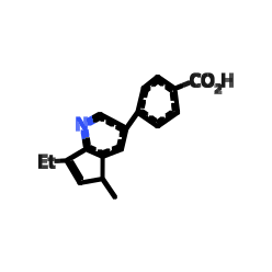 CCC1=CC(C)c2cc(-c3ccc(C(=O)O)cc3)cnc21